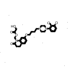 O=C(CO)OCN1C(=O)CCc2ccc(OCCCCN3CCN(c4cccc(Cl)c4Cl)CC3)cc21